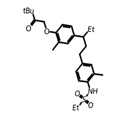 CCC(CCc1ccc(NS(=O)(=O)CC)c(C)c1)c1ccc(OCC(=O)C(C)(C)C)c(C)c1